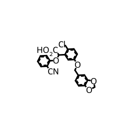 N#Cc1ccccc1OC(C(=O)O)c1cc(OCc2ccc3c(c2)OCO3)ccc1Cl